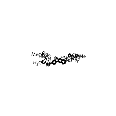 COC(=O)N[C@H](C(=O)N1[C@@H](C)CC[C@H]1c1nc2ccc3cc4c(cc3c2[nH]1)COc1cc(-c2cnc([C@@H]3C[C@H](C)CN3C(=O)[C@@H](NC(O)OC)C(C)C)[nH]2)ccc1-4)C(C)C